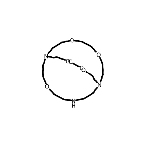 C1COCCN2CCOCCOCCN(CCN1)CCOCCOCC2